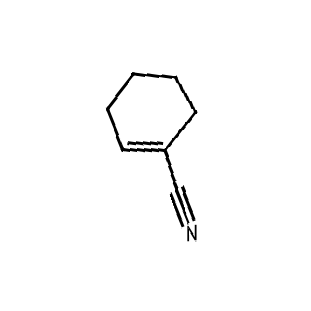 N#CC1=CCCCC1